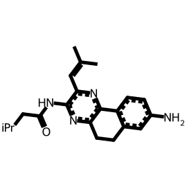 CC(C)=Cc1nc2c(nc1NC(=O)CC(C)C)CCc1cc(N)ccc1-2